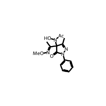 CON=C(C)C1(N(O)C(C)=O)C(=O)N(c2ccccc2)N=C1C